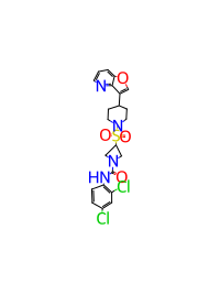 O=C(Nc1ccc(Cl)cc1Cl)N1CC(S(=O)(=O)N2CCC(c3coc4cccnc34)CC2)C1